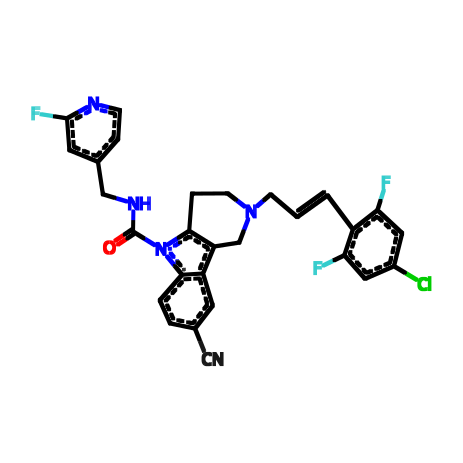 N#Cc1ccc2c(c1)c1c(n2C(=O)NCc2ccnc(F)c2)CCN(CC=Cc2c(F)cc(Cl)cc2F)C1